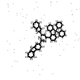 c1ccc(C2(c3ccccc3)c3ccccc3-c3c(-c4cc(-c5cc6ccccc6s5)nc(-c5ccc6c(c5)sc5ccccc56)n4)cccc32)cc1